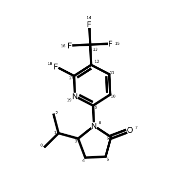 CC(C)C1CCC(=O)N1c1ccc(C(F)(F)F)c(F)n1